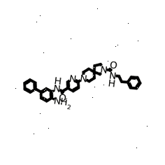 Nc1ccc(-c2ccccc2)cc1NC(=O)c1ccc(N2CCC3(CCN(C(=O)NCCc4ccccc4)C3)CC2)nc1